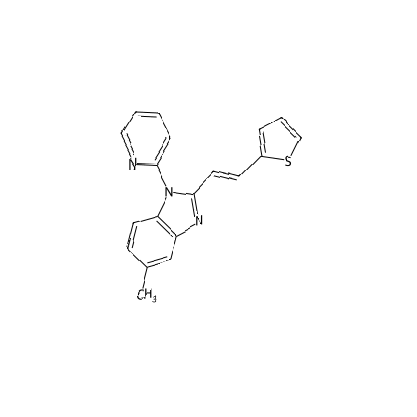 Cc1ccc2c(c1)nc(C=Cc1cccs1)n2-c1ccccn1